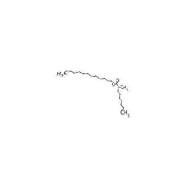 CCCCCCCCCCCCOC(=O)C(C)CCCCCCC